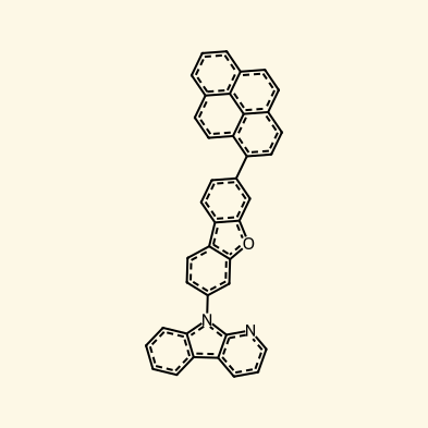 c1cc2ccc3ccc(-c4ccc5c(c4)oc4cc(-n6c7ccccc7c7cccnc76)ccc45)c4ccc(c1)c2c34